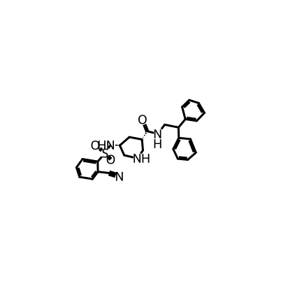 N#Cc1ccccc1S(=O)(=O)N[C@H]1CNC[C@@H](C(=O)NCC(c2ccccc2)c2ccccc2)C1